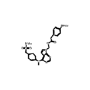 CNS(=O)(=O)CC1CCC(N(C)c2ncnc3c2ccn3COC(=O)Cc2ccc(NC(C)=O)cc2)CC1